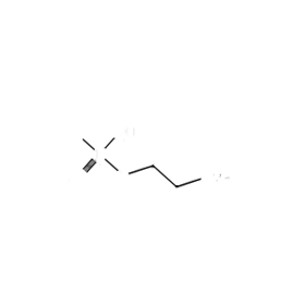 CSCCSP(=O)(O)O